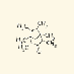 CC1=C(C)C2(C)CC1(C)C(C)C(=O)C2C